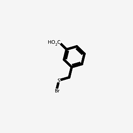 O=C(O)c1cccc(CSBr)c1